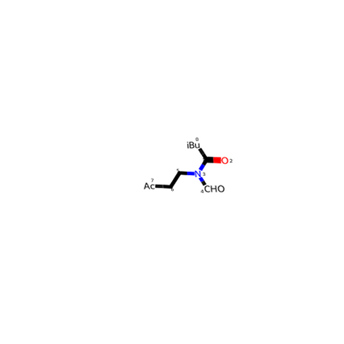 CCC(C)C(=O)N(C=O)CCC(C)=O